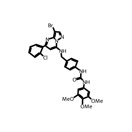 COc1cc(NC(=O)Nc2ccc(CNc3cc(-c4ccccc4Cl)nc4c(Br)cnn34)cc2)cc(OC)c1OC